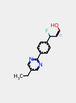 CCc1cnc(-c2ccc(C(F)/C=C\O)cc2)nc1